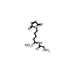 NCC(=O)NC(CCCCN1C(=O)C=CC1=O)C(=O)O